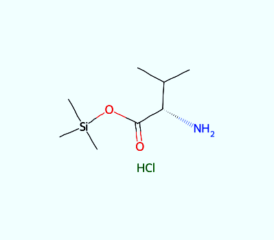 CC(C)[C@H](N)C(=O)O[Si](C)(C)C.Cl